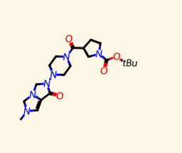 CN1C=C2C(=O)N(N3CCN(C(=O)C4CCN(C(=O)OC(C)(C)C)C4)CC3)CN2C1